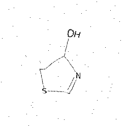 OC1CSC=N1